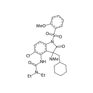 CCN(CC)C(=O)Nc1c(Cl)ccc2c1C(CC1CCCCC1)(NC)C(=O)N2S(=O)(=O)c1ccccc1OC